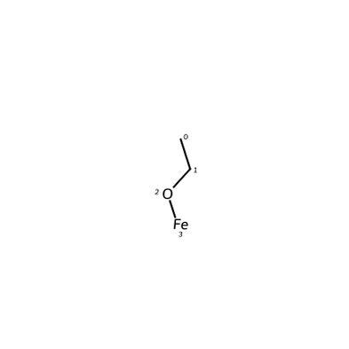 CC[O][Fe]